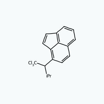 CC(C)C(c1ccc2cccc3c2c1C=C3)C(Cl)(Cl)Cl